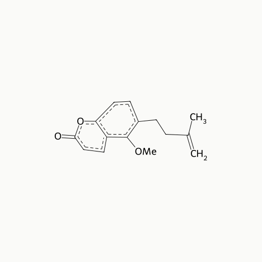 C=C(C)CCc1ccc2oc(=O)ccc2c1OC